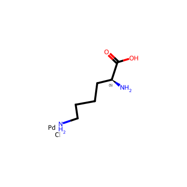 NCCCC[C@H](N)C(=O)O.[C].[Pd]